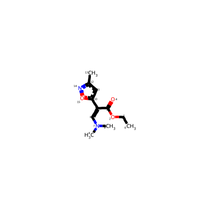 CCOC(=O)C(=CN(C)C)c1cc(C)no1